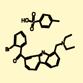 CCN(CC)Cc1cccc2c3cccc(C(=O)c4ccccc4Br)cc-3nc12.Cc1ccc(S(=O)(=O)O)cc1